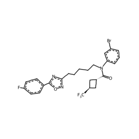 O=C([C@H]1C[C@H](C(F)(F)F)C1)N(CCCCCc1noc(-c2ccc(F)cc2)n1)c1cccc(Br)c1